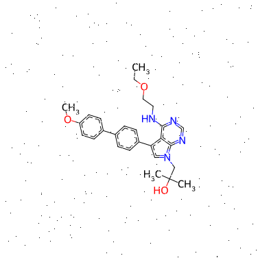 CCOCCNc1ncnc2c1c(-c1ccc(-c3ccc(OC)cc3)cc1)cn2CC(C)(C)O